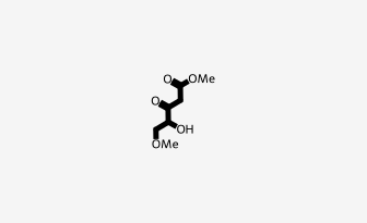 COCC(O)C(=O)CC(=O)OC